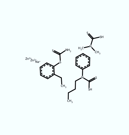 CCCCN(C(=S)S)c1ccccc1.CCc1ccccc1SC(N)=S.CN(C)C(=S)S.[Na+].[Zn+2].[Zn+2]